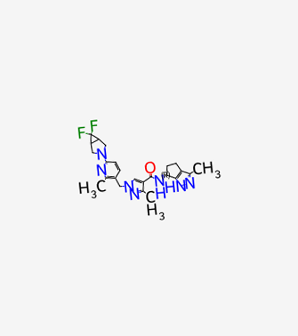 Cc1nc(N2CC3C(C2)C3(F)F)ccc1Cn1cc(C(=O)N[C@@H]2CCc3c(C)n[nH]c32)c(C)n1